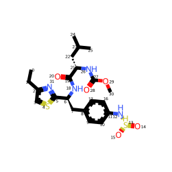 CCc1csc([C@H](Cc2ccc(N[SH](=O)=O)cc2)NC(=O)[C@H](CC(C)C)NC(=O)OC)n1